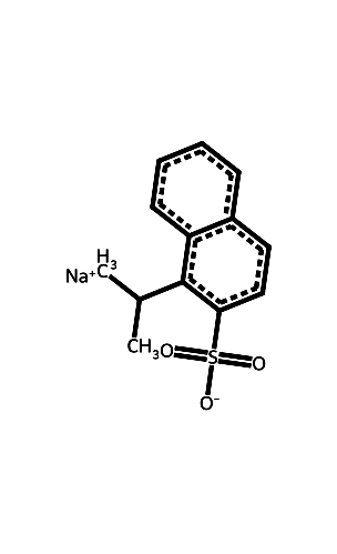 CC(C)c1c(S(=O)(=O)[O-])ccc2ccccc12.[Na+]